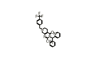 Cc1nc2c(c(=O)n1C(c1ccccc1)c1ccccn1)CCN(Cc1ccc(C(F)(F)F)cc1)C2